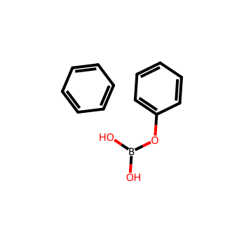 OB(O)Oc1ccccc1.c1ccccc1